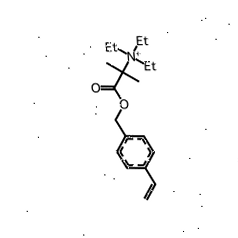 C=Cc1ccc(COC(=O)C(C)(C)[N+](CC)(CC)CC)cc1